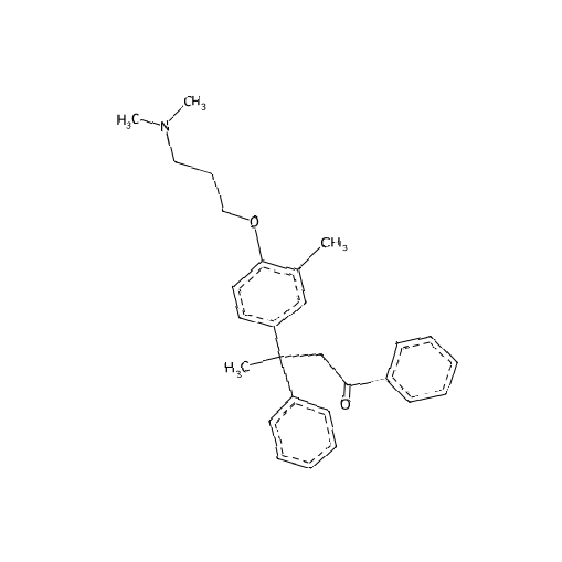 Cc1cc(C(C)(CC(=O)c2ccccc2)c2ccccc2)ccc1OCCCN(C)C